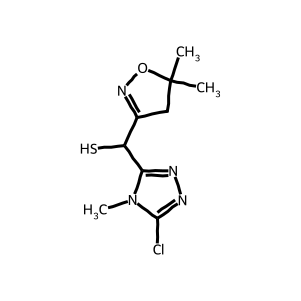 Cn1c(Cl)nnc1C(S)C1=NOC(C)(C)C1